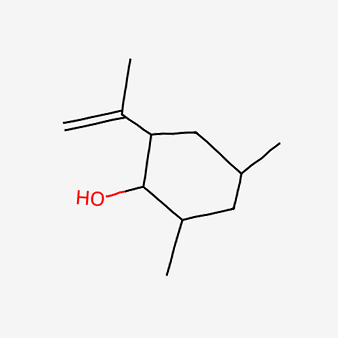 C=C(C)C1CC(C)CC(C)C1O